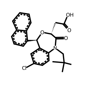 CC(C)(C)CN1C(=O)[C@@H](CC(=O)O)O[C@H](c2cccc3ccccc23)c2cc(Cl)ccc21